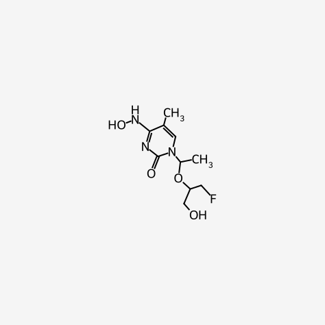 Cc1cn(C(C)OC(CO)CF)c(=O)nc1NO